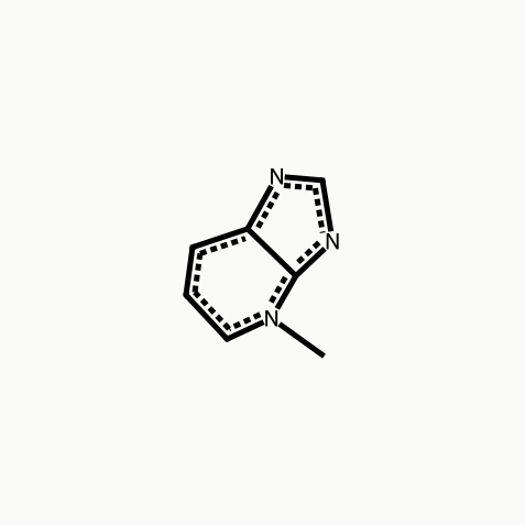 Cn1cccc2ncnc1-2